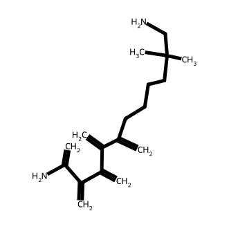 C=C(N)C(=C)C(=C)C(=C)C(=C)CCCCC(C)(C)CN